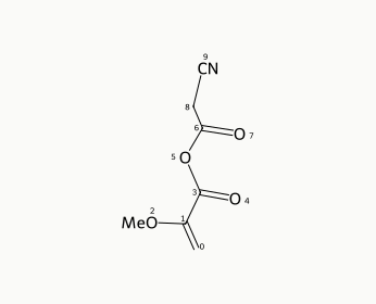 C=C(OC)C(=O)OC(=O)CC#N